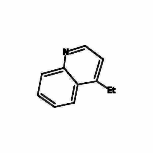 CCc1ccnc2ccccc12